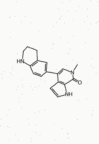 Cn1cc(-c2ccc3c(c2)CCCN3)c2cc[nH]c2c1=O